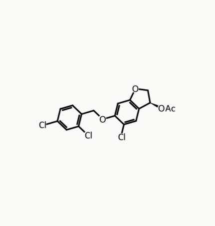 CC(=O)O[C@@H]1COc2cc(OCc3ccc(Cl)cc3Cl)c(Cl)cc21